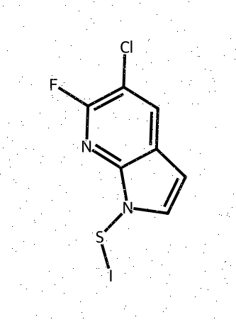 Fc1nc2c(ccn2SI)cc1Cl